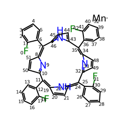 Fc1ccccc1-c1c2nc(c(-c3ccccc3F)c3ccc([nH]3)c(-c3ccccc3F)c3nc(c(-c4ccccc4F)c4ccc1[nH]4)C=C3)C=C2.[Mn]